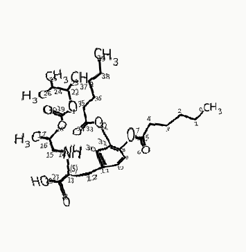 CCCCCC(=O)Oc1ccc(C[C@H](NCC(C)OC(=O)OC(C)C(C)C)C(=O)O)cc1OC(=O)CCCCC